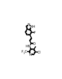 Cc1c(Cl)cnc(C(F)(F)F)c1NC(=O)/C=C/c1ccc2cn[nH]c2c1F